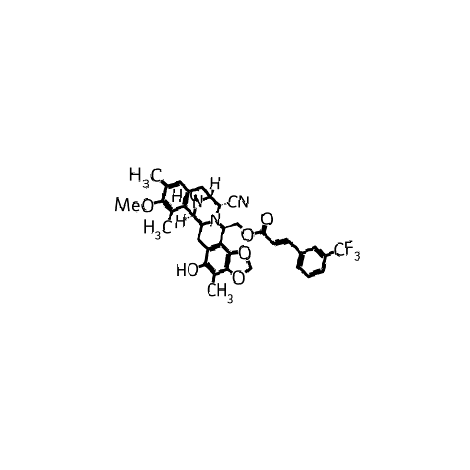 COc1c(C)cc2c(c1C)[C@@H]1C3Cc4c(O)c(C)c5c(c4[C@H](COC(=O)/C=C/c4cccc(C(F)(F)F)c4)N3[C@@H](C#N)[C@@H](C2)N1C)OCO5